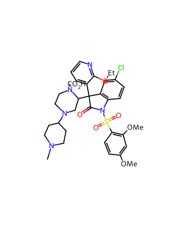 CCOc1ncccc1C1(C2CN(C3CCN(C)CC3)CCN2C(=O)O)C(=O)N(S(=O)(=O)c2ccc(OC)cc2OC)c2ccc(Cl)cc21